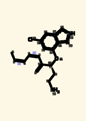 C=C(/C=C\C=C/C)[C@@H](CCN)Oc1cc(Cl)cc2c[nH]nc12